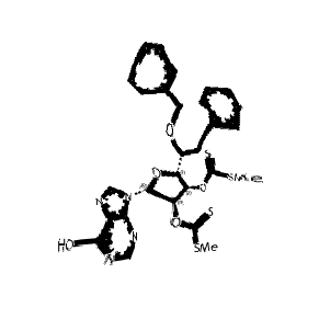 CSC(=S)O[C@@H]1[C@H](OC(=S)SC)[C@@H](C(Cc2ccccc2)OCc2ccccc2)O[C@H]1n1cnc2c(O)ncnc21